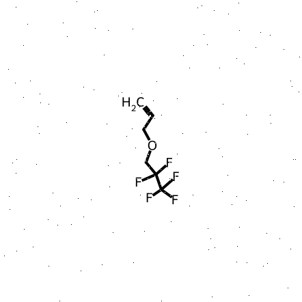 C=CCOCC(F)(F)C(F)(F)F